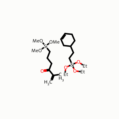 C=C(C)C(=O)CCC[Si](OC)(OC)OC.CCO[Si](CCC1CC=CCC1)(OCC)OCC